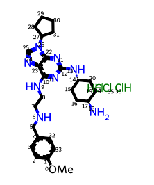 COc1ccc(CNCCNc2nc(N[C@H]3CC[C@H](N)CC3)nc3c2ncn3C2CCCC2)cc1.Cl.Cl.Cl